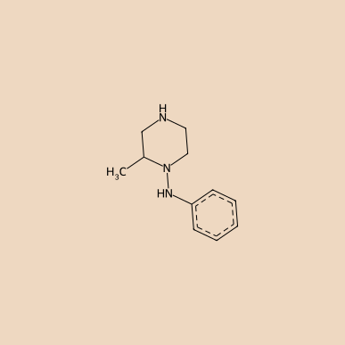 CC1CNCCN1Nc1ccccc1